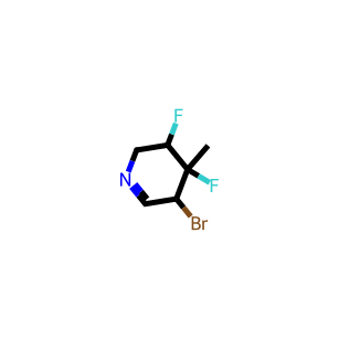 CC1(F)C(Br)C=NCC1F